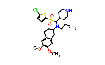 CCCN(C1CCc2cc(OC)c(OC)cc2C1)C(C1CCNCC1)S(=O)(=O)c1ccc(Cl)s1